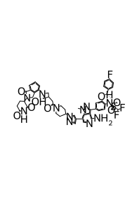 C[C@H](Oc1cc(-c2nn(C)c3c(-c4cnn(C5CCN(C(=O)CC6CN(c7cccc8c7C(O)N(C7CCC(=O)NC7=O)C8=O)C6)CC5)c4)cnc(N)c23)ccc1NS(=O)(=O)C(F)F)c1ccc(F)cc1